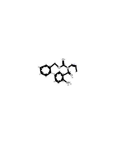 C/C=C\N(C(=O)OCc1ccccc1)C(=O)c1ccccc1N